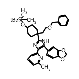 Cc1cccc(-c2nc(C3(CCOCc4ccccc4)CCC(O[Si](C)(C)C(C)(C)C)CC3)[nH]c2-c2ccc3c(c2)OCO3)n1